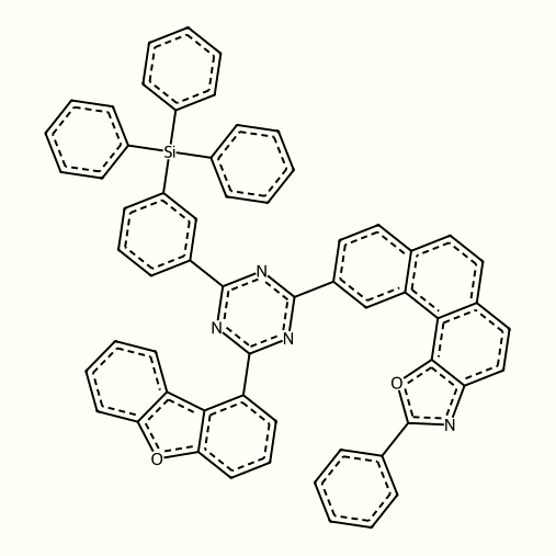 c1ccc(-c2nc3ccc4ccc5ccc(-c6nc(-c7cccc([Si](c8ccccc8)(c8ccccc8)c8ccccc8)c7)nc(-c7cccc8oc9ccccc9c78)n6)cc5c4c3o2)cc1